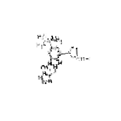 Cn1nnnc1Cn1nc2nc(C(C)(C)C)nc(N3CC[C@H](O)C3)c2n1